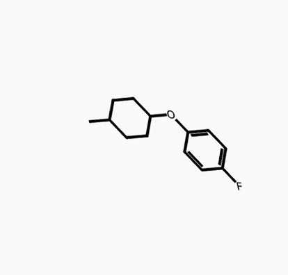 CC1CCC(Oc2ccc(F)cc2)CC1